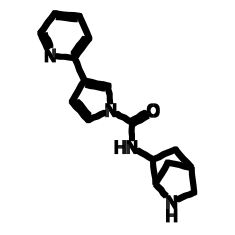 O=C(NC1CC2CNC1C2)n1ccc(-c2ccccn2)c1